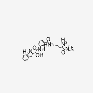 NC(CCCCNC(=O)c1cccc(NC(=O)C(O)C(N)Cc2ccccc2)c1)C(=O)N1CCSC1